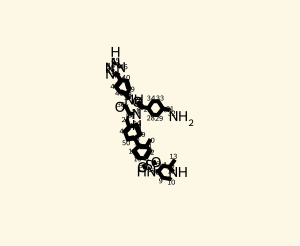 Cc1cc(S(=O)(=O)NC2CCNC(C)C2)ccc1-c1ccc(C[C@H](NC(=O)C2CCC(CN)CC2)C(=O)Nc2ccc(-c3nn[nH]n3)cc2)cc1